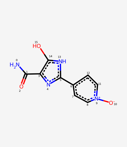 NC(=O)c1nc(-c2cc[n+]([O-])cc2)[nH]c1O